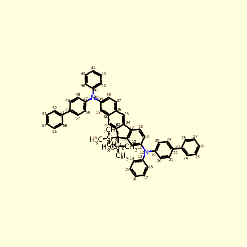 C[Si](C)(C)C1([Si](C)(C)C)c2cc(N(c3ccccc3)c3ccc(-c4ccccc4)cc3)ccc2-c2cc3ccc(N(c4ccccc4)c4ccc(-c5ccccc5)cc4)cc3cc21